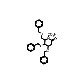 O=C(O)N1C(=O)CC(OCc2ccccc2)C(OCc2ccccc2)C1COCc1ccccc1